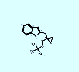 CC(C)(C)OCC1(Cc2cc3ccccc3o2)CC1